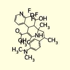 CC1=C(C(=O)O)C(c2cccnc2C(F)(F)F)C(C(=O)O)C(C)(CC(C)c2ccc(N(C)C)cc2)N1